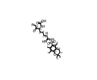 Cc1c(C)c(S(=O)(=O)NC(=N)NCCCC(NC(=O)O)C(=O)CF)c(C)c2c1OC(C)(C)CC2